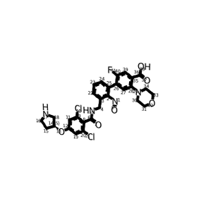 O=Nc1c(CNC(=O)c2c(Cl)cc(O[C@H]3CCNC3)cc2Cl)cccc1-c1cc(N2CCOCC2)c(C(=O)O)cc1F